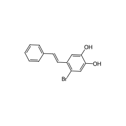 Oc1cc(Br)c(C=Cc2ccccc2)cc1O